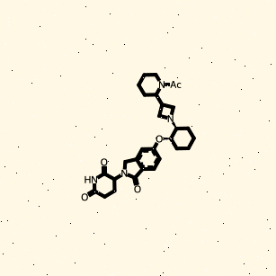 CC(=O)N1CCCCC1C1CN([C@H]2CCCC[C@H]2Oc2ccc3c(c2)CN(C2CCC(=O)NC2=O)C3=O)C1